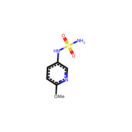 COc1ccc(NS(N)(=O)=O)cn1